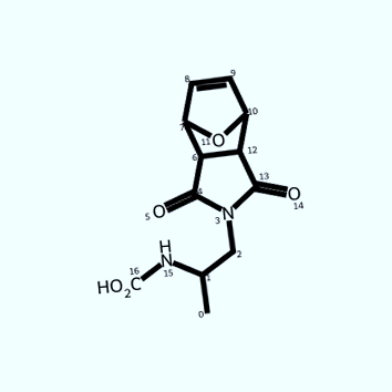 CC(CN1C(=O)C2C3C=CC(O3)C2C1=O)NC(=O)O